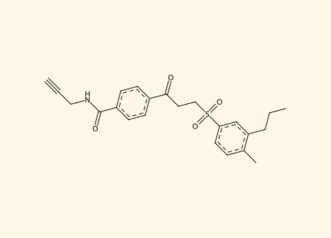 C#CCNC(=O)c1ccc(C(=O)CCS(=O)(=O)c2ccc(C)c(CCC)c2)cc1